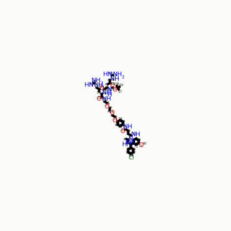 COc1ccc(N(C(C)=N)C(=N)CCC(=O)Nc2ccc(OCCOCCOCCNC(=O)[C@H](CCCNC(=N)N)NC(=O)[C@H](CCCNC(=N)N)NC(=O)OC(C)(C)C)cc2)c(C(=N)c2ccc(Cl)cc2)c1